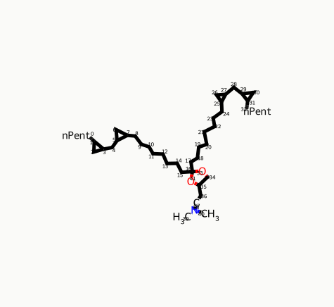 CCCCCC1CC1CC1CC1CCCCCCCCC1(CCCCCCCCC2CC2CC2CC2CCCCC)OCC(CCN(C)C)O1